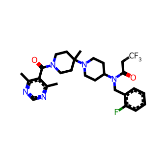 Cc1ncnc(C)c1C(=O)N1CCC(C)(N2CCC(N(Cc3ccccc3F)C(=O)CC(F)(F)F)CC2)CC1